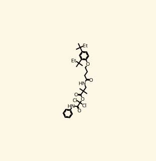 CCC(C)(C)c1ccc(OCCCC(=O)NCC(C)(C)C(=O)OC(Cl)(Cl)C(=O)Nc2ccccc2)c(C(C)(C)CC)c1